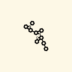 c1ccc(-c2ccc(-c3ccc(-n4c5ccccc5c5cc(-c6ccc7c8ccccc8n(-c8ccccc8)c7c6)ccc54)c4oc5ccccc5c34)cc2)cc1